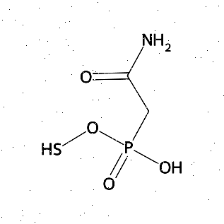 NC(=O)CP(=O)(O)OS